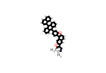 C/C=C\c1c(C)oc2cc3c(ccc4oc5cc(-c6c7ccccc7c(-c7cccc8ccccc78)c7ccccc67)ccc5c43)cc12